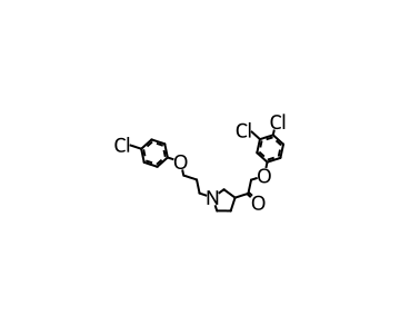 O=C(COc1ccc(Cl)c(Cl)c1)C1CCN(CCCOc2ccc(Cl)cc2)C1